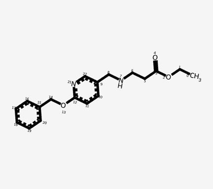 CCOC(=O)CCNCc1ccc(OCc2ccccc2)nc1